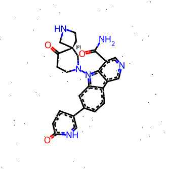 NC(=O)c1cncc2c3ccc(-c4ccc(=O)[nH]c4)cc3n(N3CCC(=O)[C@@]4(CCNC4)C3)c12